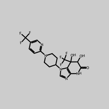 O=C1Nc2ncn(C3CCN(c4ccc(C(F)(F)F)cn4)CC3)c2C(O)(C(F)(F)F)C1O